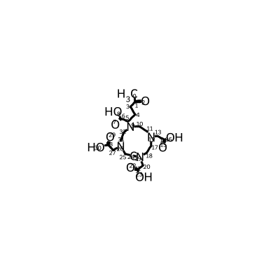 CC(=O)CCC(C(=O)O)N1CCN(CC(=O)O)CCN(CC(=O)O)CCN(CC(=O)O)CC1